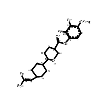 CCCCCc1ccc(OC(=O)C2CCC(C3CCC(/C=C(\F)CC)CC3)OC2)c(F)c1F